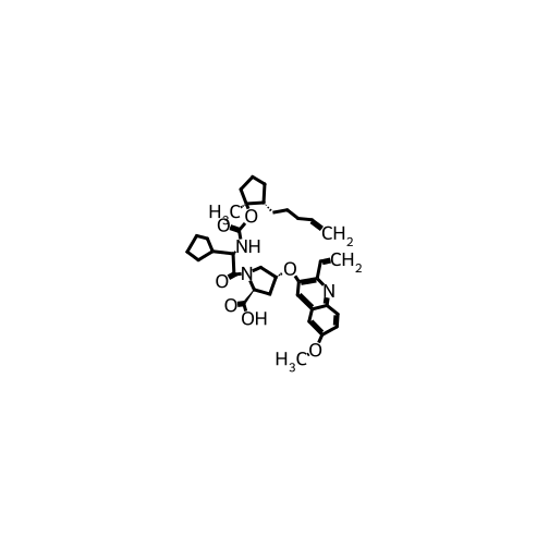 C=CCCC[C@H]1CCC[C@]1(C)OC(=O)N[C@H](C(=O)N1C[C@H](Oc2cc3cc(OC)ccc3nc2C=C)C[C@H]1C(=O)O)C1CCCC1